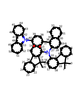 CC1(C)c2ccccc2-c2c(N(c3cccc4c3C(C)(C)c3ccccc3-4)c3ccc4ccccc4c3-c3ccc(-n4c5ccccc5c5ccccc54)cc3)cccc21